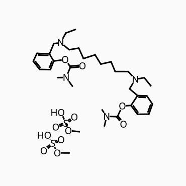 CCN(CCCCCCCCN(CC)Cc1ccccc1OC(=O)N(C)C)Cc1ccccc1OC(=O)N(C)C.COS(=O)(=O)O.COS(=O)(=O)O